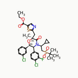 CCOC(=O)c1cnc(C[C@]2(C)O[C@H](c3cccc(Cl)c3)C(c3ccc(Cl)c(F)c3)N(C(CS(=O)(=O)C(C)(C)C)C3CC3)C2=O)s1